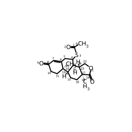 CC(=O)SC1CC2=CC(=O)CC[C@]2(C)[C@@H]2CC[C@]3(C)C(=O)OC[C@H]3[C@H]12